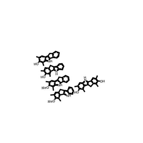 COc1c(C)cc2c(c1C)-c1[nH]c3ccccc3c1C2.COc1c(C)cc2c3c([nH]c2c1C)-c1ccccc1C3.Cc1cc2c(c(C)c1O)-c1[nH]c3ccccc3c1C2.Cc1cc2c(c(C)c1O)Cc1c-2[nH]c2cc(C)c(O)c(C)c12.Cc1cc2c3c([nH]c2c(C)c1O)-c1ccccc1C3